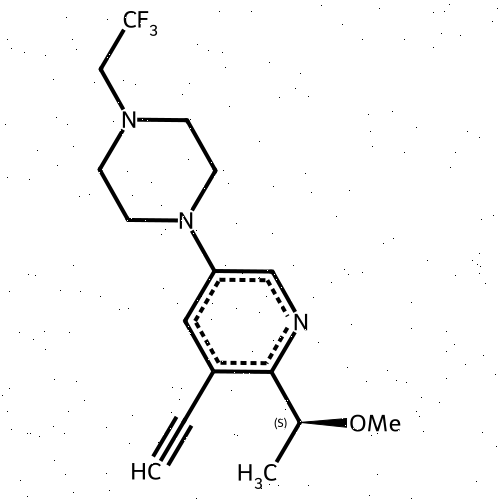 C#Cc1cc(N2CCN(CC(F)(F)F)CC2)cnc1[C@H](C)OC